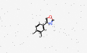 Cc1ccc(-c2co[c]n2)cc1C